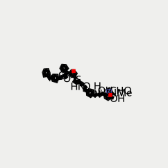 CNc1c(O)ccc([C@@H](O)CNCc2ccc(CC(=O)NCc3ccc(-c4cccc(C(C(=O)OCC5CCN(Cc6ccccc6)CC5)c5ccccc5)c4)s3)cc2)c1/C=C\C=O